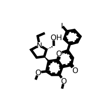 CCN1CC[C@H](c2c(OC)cc(OC)c3c(=O)cc(-c4cccc(I)c4)oc23)[C@H]1CO